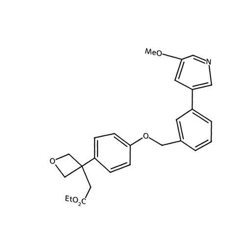 CCOC(=O)CC1(c2ccc(OCc3cccc(-c4cncc(OC)c4)c3)cc2)COC1